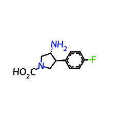 N[C@H]1CN(C(=O)O)C[C@@H]1c1ccc(F)cc1